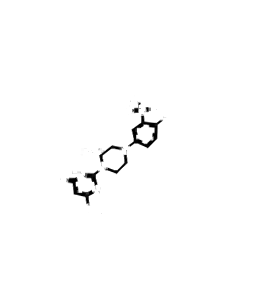 Cc1cc(=O)[nH]c(N2CCN(c3ccc(F)c(S(C)(=O)=O)c3)C[C@H]2C(C)C)n1